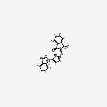 O=C1C(=Cc2ccc(-n3ccc4ccccc43)s2)C(=O)c2ccccc21